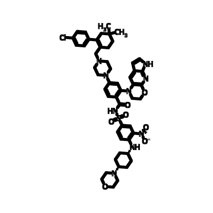 CC1(C)CCC(CN2CCN(c3ccc(C(=O)NS(=O)(=O)c4ccc(N[C@H]5CC[C@@H](N6CCOCC6)CC5)c([N+](=O)[O-])c4)c(N4CCOc5nc6[nH]ccc6cc54)c3)CC2)=C(c2ccc(Cl)cc2)C1